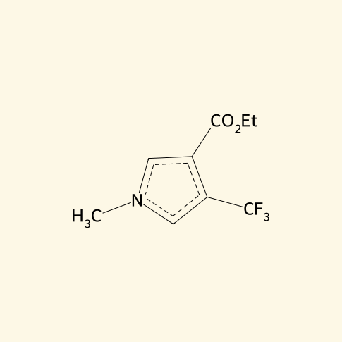 CCOC(=O)c1cn(C)cc1C(F)(F)F